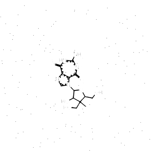 CC1(CO)C(CO)OC(n2cnc3c(=O)[nH]c(N)nc(=O)c32)C1O